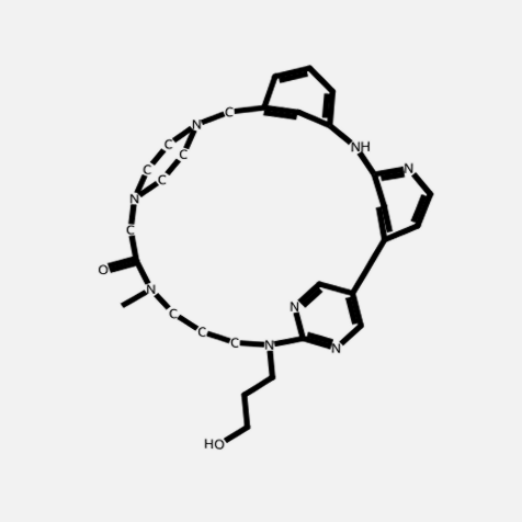 CN1CCCN(CCCO)c2ncc(cn2)-c2ccnc(c2)Nc2cccc(c2)CN2CCN(CC2)CC1=O